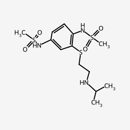 CC(C)NCCSc1cc(NS(C)(=O)=O)ccc1NS(C)(=O)=O